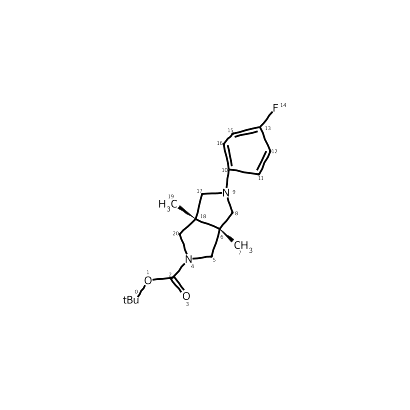 CC(C)(C)OC(=O)N1C[C@@]2(C)CN(c3ccc(F)cc3)C[C@@]2(C)C1